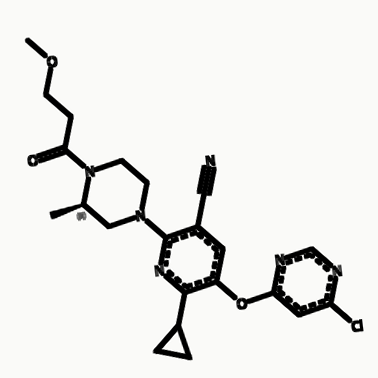 COCCC(=O)N1CCN(c2nc(C3CC3)c(Oc3cc(Cl)ncn3)cc2C#N)C[C@H]1C